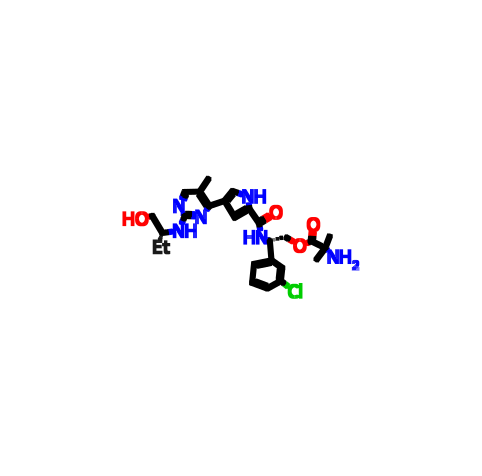 CC[C@H](CO)Nc1ncc(C)c(-c2c[nH]c(C(=O)N[C@H](COC(=O)C(C)(C)N)c3cccc(Cl)c3)c2)n1